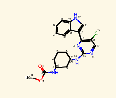 CC(C)(C)OC(=O)N[C@H]1CCC[C@@H](Nc2ncc(Cl)c(-c3c[nH]c4ccccc34)n2)C1